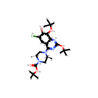 C[C@@H]1CN(c2nc(OC(C)(C)C)nc3c(OC(C)(C)C)c(Br)c(Cl)cc23)[C@@H](C)CN1C(=O)OC(C)(C)C